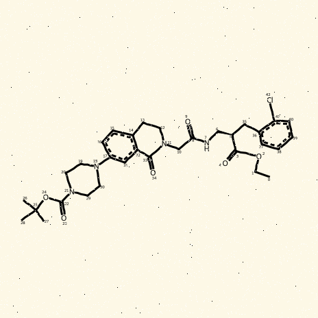 CCOC(=O)[C@@H](CNC(=O)CN1CCc2ccc(N3CCN(C(=O)OC(C)(C)C)CC3)cc2C1=O)Cc1ccccc1Cl